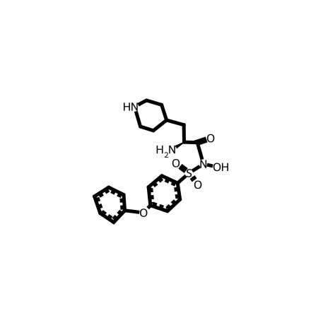 N[C@@H](CC1CCNCC1)C(=O)N(O)S(=O)(=O)c1ccc(Oc2ccccc2)cc1